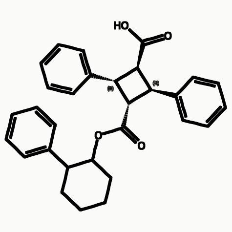 O=C(O)[C@H]1[C@@H](c2ccccc2)[C@H](C(=O)OC2CCCCC2c2ccccc2)[C@@H]1c1ccccc1